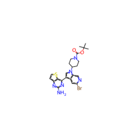 CC(C)(C)OC(=O)N1CCC(n2cc(-c3nc(N)nc4ccsc34)c3cc(Br)ncc32)CC1